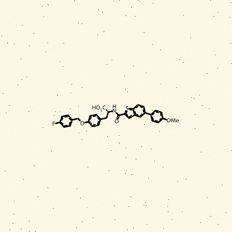 COc1ccc(-c2ccc3sc(C(=O)N[C@@H](Cc4ccc(OCc5ccc(F)cc5)cc4)C(=O)O)cc3c2)cc1